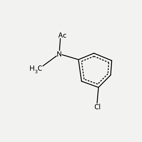 CC(=O)N(C)c1cccc(Cl)c1